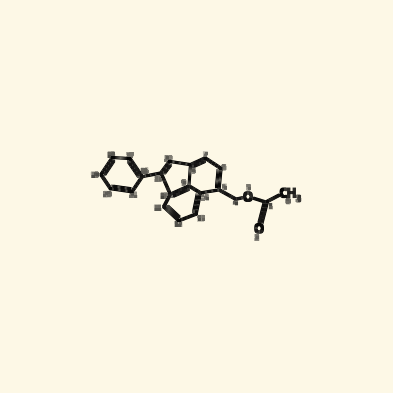 CC(=O)OCc1ccc2c3c(cccc13)C(c1ccccc1)=C2